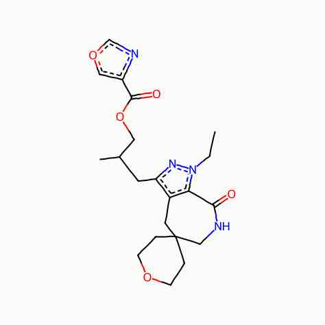 CCn1nc(CC(C)COC(=O)c2cocn2)c2c1C(=O)NCC1(CCOCC1)C2